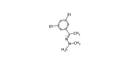 CCc1cc(CC)cc(/C(C)=N/N(C)C)c1